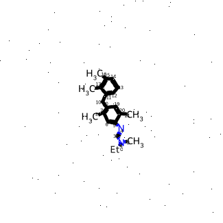 CCN(C)C=Nc1cc(C)c(Cc2cccc(C)c2C)cc1C